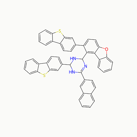 c1ccc2cc(C3=NC(c4c(-c5ccc6c(c5)sc5ccccc56)ccc5oc6ccccc6c45)NC(c4ccc5c(c4)sc4ccccc45)N3)ccc2c1